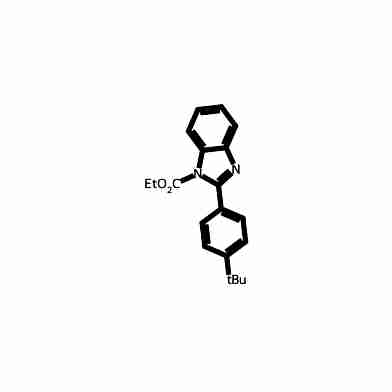 CCOC(=O)n1c(-c2ccc(C(C)(C)C)cc2)nc2ccccc21